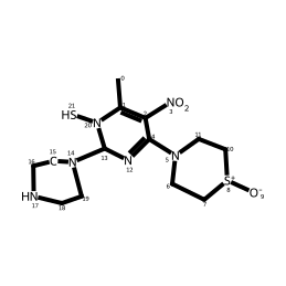 CC1=C([N+](=O)[O-])C(N2CC[S+]([O-])CC2)=NC(N2CCNCC2)N1S